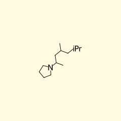 CC(C)CC(C)CC(C)N1CCCC1